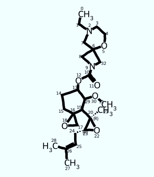 CCN1CCOC2(C1)CN(C(=O)OC1CCC3(CO3)C([C@@]3(C)O[C@@H]3CC=C(C)C)C1OC)C2